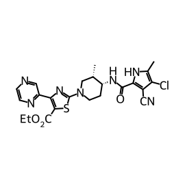 CCOC(=O)c1sc(N2CC[C@@H](NC(=O)c3[nH]c(C)c(Cl)c3C#N)[C@@H](C)C2)nc1-c1cnccn1